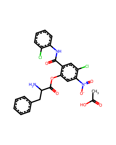 CC(=O)O.NC(Cc1ccccc1)C(=O)Oc1cc([N+](=O)[O-])c(Cl)cc1C(=O)Nc1ccccc1Cl